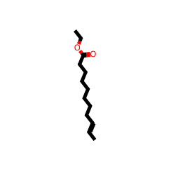 CC=CCCCCCCCC(=O)OCC